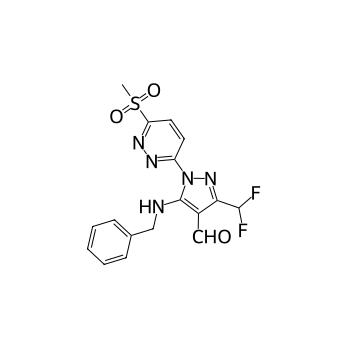 CS(=O)(=O)c1ccc(-n2nc(C(F)F)c(C=O)c2NCc2ccccc2)nn1